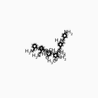 COc1cccc(C)c1N.Cn1c(N)cc(=O)[nH]c1=O.NCCc1cccc(F)c1.NCCc1ccccc1F.NCc1ccc(N)cc1.NCc1ccccc1N